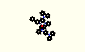 c1ccc(-c2ccc3c(c2)c2cc(-n4c5ccccc5c5ccccc54)cc(-n4c5ccccc5c5ccccc54)c2n3-c2ccc3c(c2)c2ccccc2n3-c2ccc(-n3c4ccccc4c4ccccc43)cc2)cc1